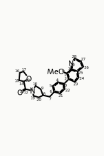 COc1c(-c2ccc(CC3CCN(C(=O)C4CCCO4)CC3)cc2)ccc2cccnc12